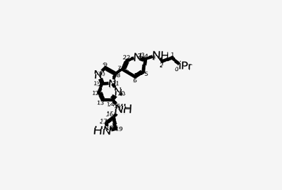 CC(C)CCNc1ccc(-c2cnc3ccc(NC4CNC4)nn23)cn1